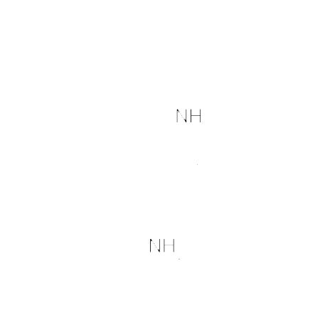 CC1(C)CC(N)C(C)(C)N1